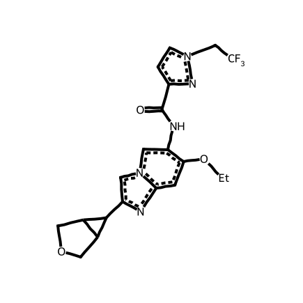 CCOc1cc2nc(C3C4COCC43)cn2cc1NC(=O)c1ccn(CC(F)(F)F)n1